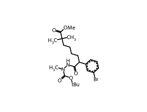 COC(=O)C(C)(C)CCCCC(C(=O)NN(C)C(=O)OC(C)(C)C)c1cccc(Br)c1